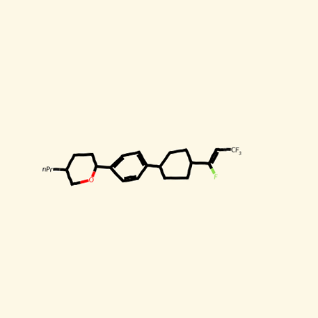 CCCC1CCC(c2ccc(C3CCC(/C(F)=C/C(F)(F)F)CC3)cc2)OC1